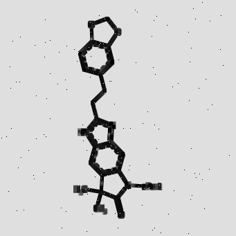 CCCCCN1C(=O)C(C)(C)c2cc3[nH]c(CCc4ccc5c(c4)OCO5)nc3cc21